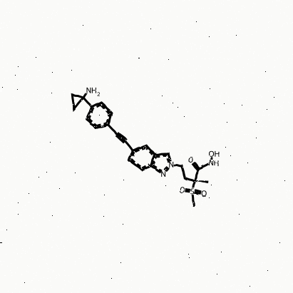 C[C@@](CCn1cc2cc(C#Cc3ccc(C4(N)CC4)cc3)ccc2n1)(C(=O)NO)S(C)(=O)=O